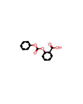 O=C(Oc1ccccc1)Oc1ccccc1C(=O)O